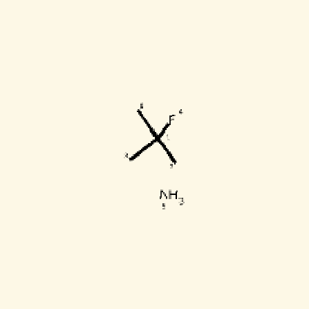 CC(C)(C)F.N